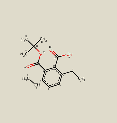 CC.CCc1cccc(C(=O)OC(C)(C)C)c1C(=O)O